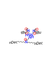 CCCCCCCCCCCCCCCCN(CCCCCCCCCCCCCCCC)C(=O)CCNC(=NCC(N=C=O)OC(C)(C)C)NCC(N=C=O)OC(C)(C)C